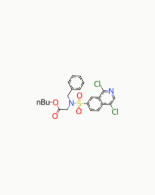 CCCCOC(=O)CN(Cc1ccccc1)S(=O)(=O)c1ccc2c(Cl)cnc(Cl)c2c1